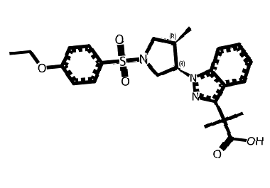 CCOc1ccc(S(=O)(=O)N2C[C@@H](C)[C@@H](n3nc(C(C)(C)C(=O)O)c4ccccc43)C2)cc1